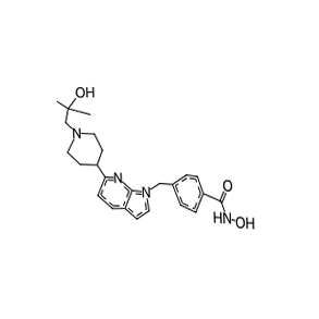 CC(C)(O)CN1CCC(c2ccc3ccn(Cc4ccc(C(=O)NO)cc4)c3n2)CC1